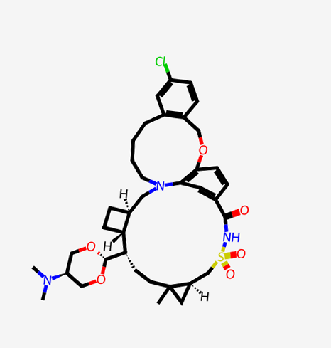 CN(C)[C@H]1CO[C@H]([C@H]2CCC3(C)C[C@@H]3CS(=O)(=O)NC(=O)c3ccc4c(c3)N(CCCCc3cc(Cl)ccc3CO4)C[C@@H]3CC[C@H]32)OC1